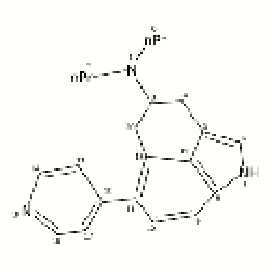 CCCN(CCC)C1Cc2c[nH]c3ccc(-c4ccncc4)c(c23)C1